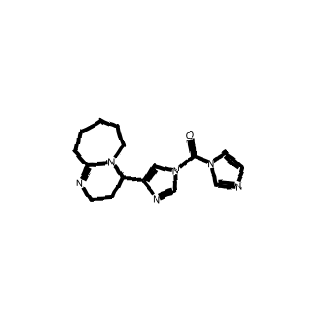 O=C(n1ccnc1)n1cnc(C2CCN=C3CCCCCN32)c1